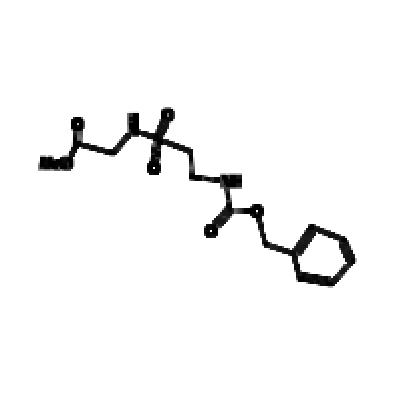 COC(=O)CNS(=O)(=O)CCNC(=O)OCc1ccccc1